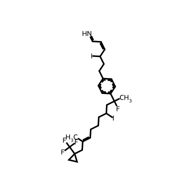 C/C(=C\CCCC(I)CC(C)(F)c1ccc(CCC(I)/C=C\C=N)cc1)CC1(C(F)(F)F)CC1